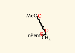 CCCCCOC(C)CC1OC1CCCCCCCC(=O)OC